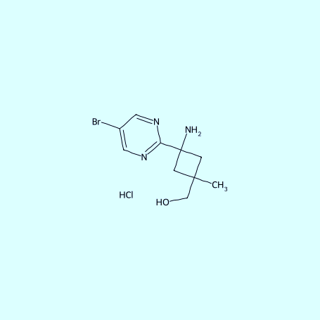 CC1(CO)CC(N)(c2ncc(Br)cn2)C1.Cl